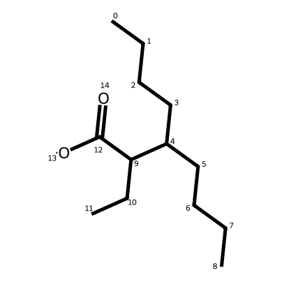 CCCCC(CCCC)C(CC)C([O])=O